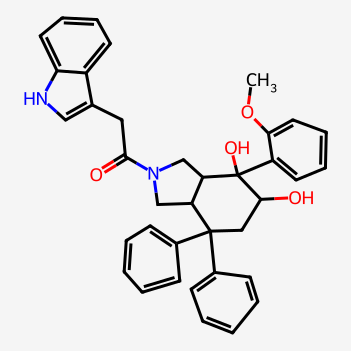 COc1ccccc1C1(O)C(O)CC(c2ccccc2)(c2ccccc2)C2CN(C(=O)Cc3c[nH]c4ccccc34)CC21